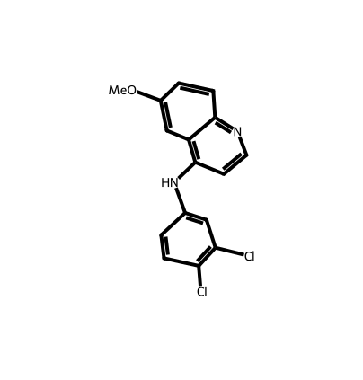 COc1ccc2nccc(Nc3ccc(Cl)c(Cl)c3)c2c1